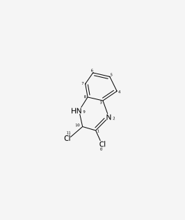 ClC1=Nc2ccccc2NC1Cl